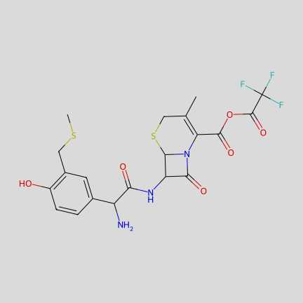 CSCc1cc(C(N)C(=O)NC2C(=O)N3C(C(=O)OC(=O)C(F)(F)F)=C(C)CSC23)ccc1O